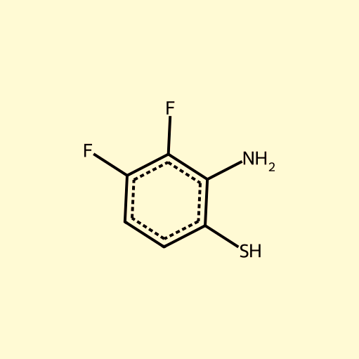 Nc1c(S)ccc(F)c1F